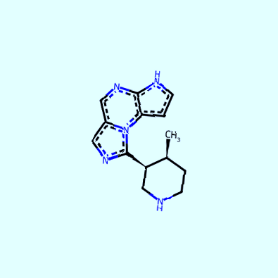 C[C@H]1CCNC[C@H]1c1ncc2cnc3[nH]ccc3n12